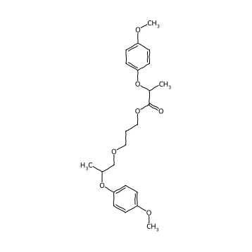 COc1ccc(OC(C)COCCCOC(=O)C(C)Oc2ccc(OC)cc2)cc1